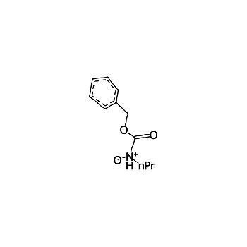 CCC[NH+]([O-])C(=O)OCc1ccccc1